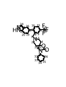 O=C1OC2(CCN(Cc3cc(C(F)(F)F)ccc3-c3ccc4[nH]ncc4c3)CC2)CN1c1ccccc1